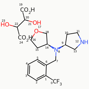 FC(F)(F)c1ccccc1CN([C@H]1CCNC1)[C@H]1CCOC1.O=C(O)C(O)C(O)C(=O)O